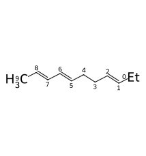 [CH2]CC=CCCC=CC=CC